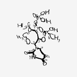 CO[C@H]([C@H](OP(C)(=O)O)[C@@H](COP(=O)(O)O)OC)n1ccc(=O)[nH]c1=O